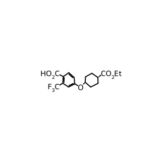 CCOC(=O)[C@H]1CC[C@@H](Oc2ccc(C(=O)O)c(C(F)(F)F)c2)CC1